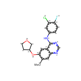 COc1cc2ncnc(Nc3ccc(F)c(Cl)c3)c2cc1OC1CCOC1